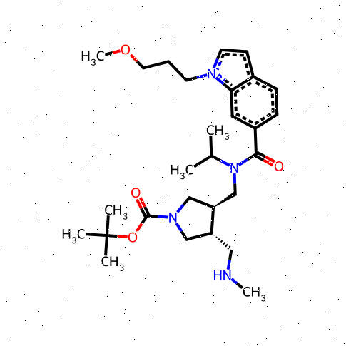 CNC[C@@H]1CN(C(=O)OC(C)(C)C)C[C@H]1CN(C(=O)c1ccc2ccn(CCCOC)c2c1)C(C)C